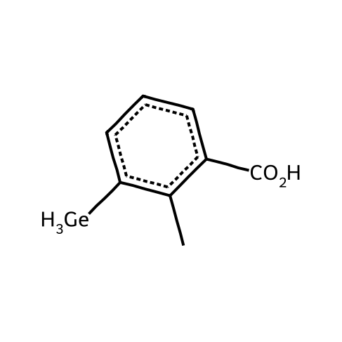 Cc1[c]([GeH3])cccc1C(=O)O